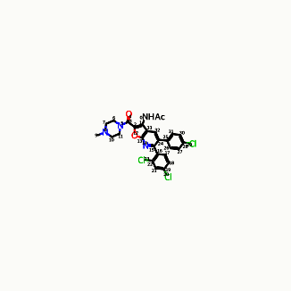 CC(=O)Nc1c(C(=O)N2CCN(C)CC2)oc2nc(-c3ccc(Cl)cc3Cl)c(-c3ccc(Cl)cc3)cc12